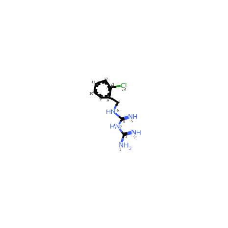 N=C(N)NC(=N)NCc1ccccc1Cl